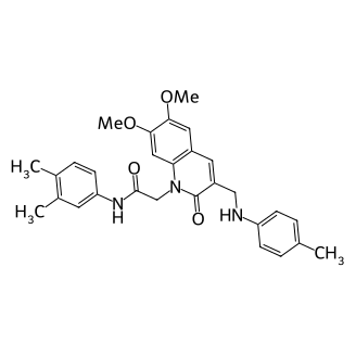 COc1cc2cc(CNc3ccc(C)cc3)c(=O)n(CC(=O)Nc3ccc(C)c(C)c3)c2cc1OC